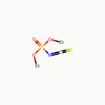 CCOP(=O)(N=C=S)OCC